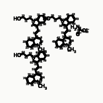 C[n+]1ccc(C=Cc2cn(CCCO)c3ccccc23)c2ccccc21.C[n+]1ccc(C=Cc2cn(CCCO)c3ccccc23)c2ccccc21.C[n+]1ccc(C=Cc2cn(CCCO)c3ccccc23)c2ccccc21.NP([O-])[O-].[I-]